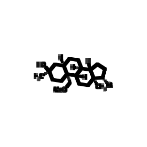 CC[C@H]1CC[C@H]2[C@@H]3CC[C@@H]4C[C@@](O)(C(F)(F)F)CC[C@]4(COC)[C@H]3CC[C@]12C